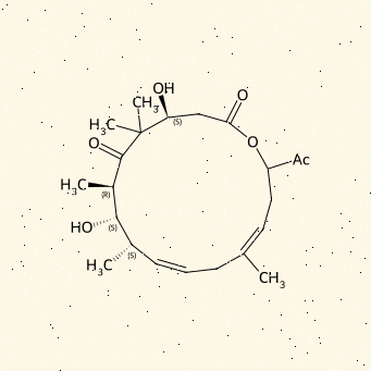 CC(=O)C1CC=C(C)CC=C[C@H](C)[C@H](O)[C@@H](C)C(=O)C(C)(C)[C@@H](O)CC(=O)O1